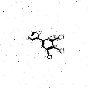 Clc1cc(-c2cnco2)nc(Cl)c1Cl